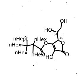 CCCCCCCC(CCCCCC)(CCCCCC)C(CCCCCC)(CCCCCC)C(=O)OC1=C(O)C(=O)O[C@@H]1[C@@H](O)CO